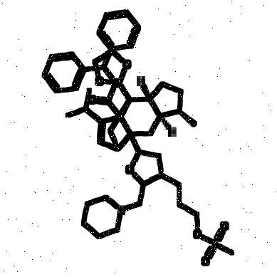 CC(C)C1=CC2CC3(C4OCCO4)[C@@H]4CC[C@@H](C)[C@H]4CC2(C2CC(CCCOS(C)(=O)=O)C(CN4CCCCC4)O2)C13C(=O)OC(c1ccccc1)c1ccccc1